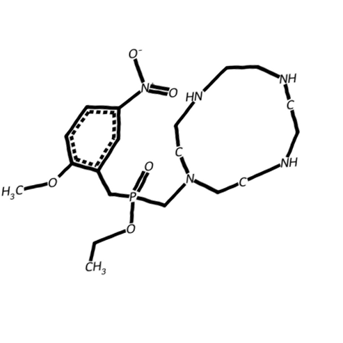 CCOP(=O)(Cc1cc([N+](=O)[O-])ccc1OC)CN1CCNCCNCCNCC1